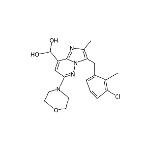 Cc1nc2c(C(O)O)cc(N3CCOCC3)nn2c1Cc1cccc(Cl)c1C